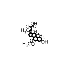 CC(=O)O[C@H]1CC2C[C@H](O)CC[C@]2(C)C2CC[C@]3(C)C(C(C)CC(Cl)C(=O)O)CCC3C21